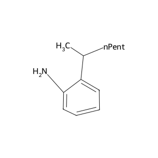 CCCCCC(C)c1ccccc1N